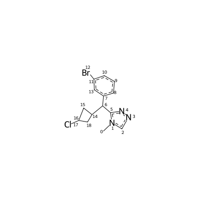 Cn1cnnc1C(c1cccc(Br)c1)C1CC(Cl)C1